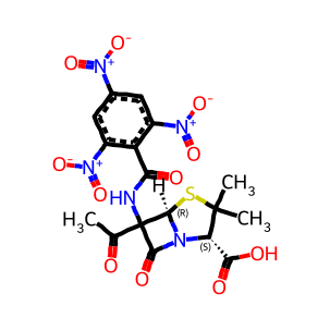 CC(=O)C1(NC(=O)c2c([N+](=O)[O-])cc([N+](=O)[O-])cc2[N+](=O)[O-])C(=O)N2[C@@H](C(=O)O)C(C)(C)S[C@@H]21